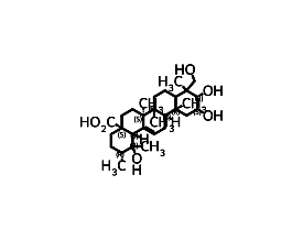 C[C@@H]1CC[C@]2(C(=O)O)CC[C@]3(C)C(=CC[C@@H]4[C@@]5(C)C[C@H](O)[C@H](O)C(C)(CO)C5CC[C@]43C)[C@@H]2[C@]1(C)O